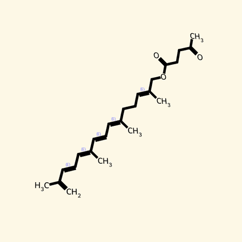 C=C(C)/C=C/C=C(C)/C=C/C=C(\C)CC/C=C(\C)COC(=O)CCC(C)=O